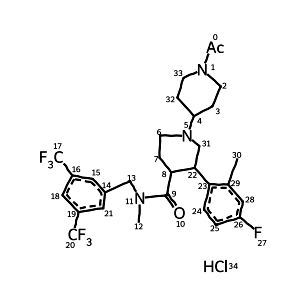 CC(=O)N1CCC(N2CCC(C(=O)N(C)Cc3cc(C(F)(F)F)cc(C(F)(F)F)c3)C(c3ccc(F)cc3C)C2)CC1.Cl